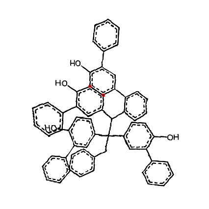 Oc1ccc(-c2ccccc2C(c2ccc(O)c(-c3ccccc3)c2)C(Cc2ccccc2)(c2ccc(O)c(-c3ccccc3)c2)c2ccc(O)c(-c3ccccc3)c2)cc1-c1ccccc1